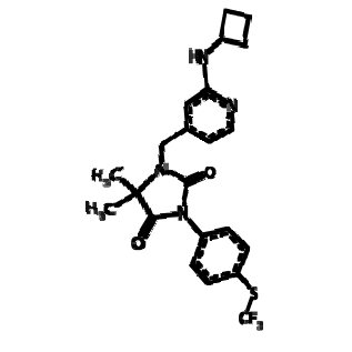 CC1(C)C(=O)N(c2ccc(SC(F)(F)F)cc2)C(=O)N1Cc1ccnc(NC2CCC2)c1